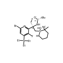 CC[Si](CC)(CC)c1cc(Br)nc([C@](CF)(CS2(O)NCCCC2(C)C#N)N[S@+]([O-])C(C)(C)C)c1F